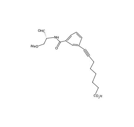 COC[C@H](C=O)NC(=O)c1cccc(C#CCCCCCC(=O)O)c1